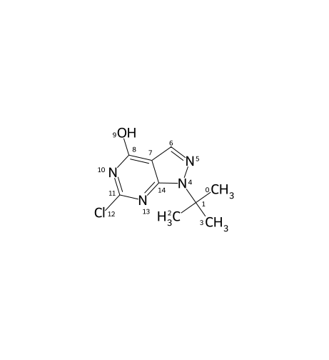 CC(C)(C)n1ncc2c(O)nc(Cl)nc21